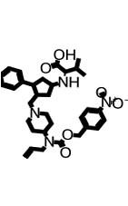 C=CCN(C(=O)OCc1ccc([N+](=O)[O-])cc1)C1CCN(CC2CC(N[C@H](C(=O)O)C(C)C)CC2c2ccccc2)CC1